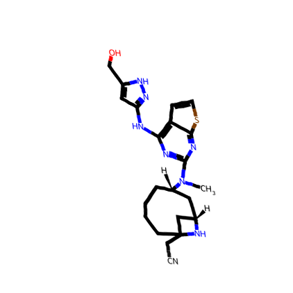 CN(c1nc(Nc2cc(CO)[nH]n2)c2ccsc2n1)[C@H]1CCCCC2(CC#N)C[C@H](C1)N2